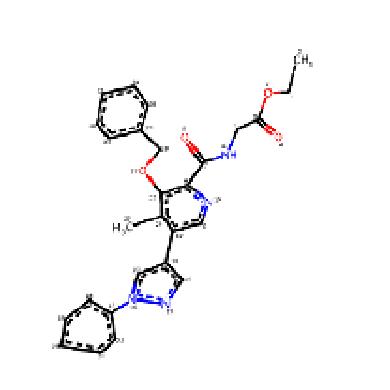 CCOC(=O)CNC(=O)c1ncc(-c2cnn(-c3ccccc3)c2)c(C)c1OCc1ccccc1